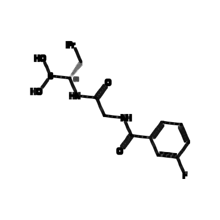 CC(C)C[C@H](NC(=O)CNC(=O)c1cccc(F)c1)B(O)O